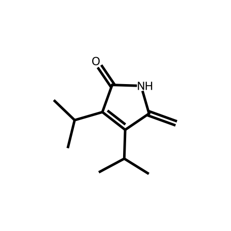 C=C1NC(=O)C(C(C)C)=C1C(C)C